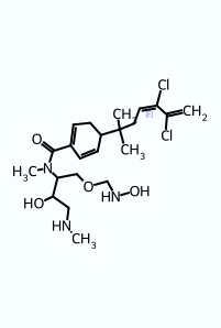 C=C(Cl)/C(Cl)=C\CC(C)(C)C1C=CC(C(=O)N(C)C(COCNO)C(O)CNC)=CC1